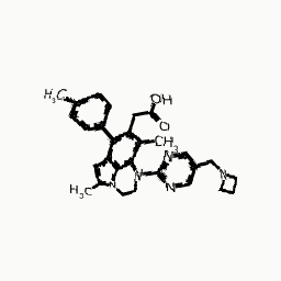 Cc1ccc(-c2c(CC(=O)O)c(C)c3c4c2cc(C)n4CCN3c2ncc(CN3CCC3)cn2)cc1